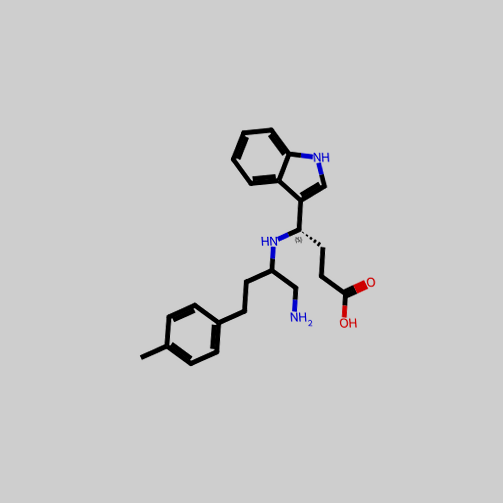 Cc1ccc(CCC(CN)N[C@@H](CCC(=O)O)c2c[nH]c3ccccc23)cc1